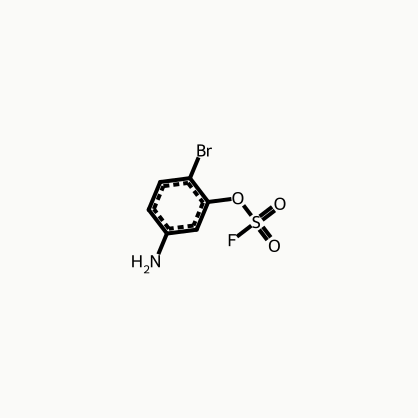 Nc1ccc(Br)c(OS(=O)(=O)F)c1